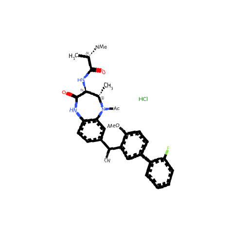 CN[C@@H](C)C(=O)N[C@@H]1C(=O)Nc2ccc(C(C#N)c3cc(-c4ccccc4F)ccc3OC)cc2N(C(C)=O)[C@H]1C.Cl